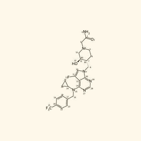 NC(=O)CN1CC[C@H](Cn2cc(F)c3c(N(Cc4ccc(C(F)(F)F)cc4)C4CC4)ncnc32)[C@@H](O)C1